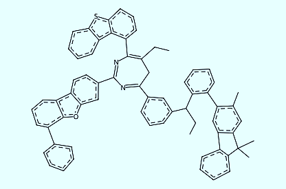 CCC1=C(c2cccc3sc4ccccc4c23)N=C(c2ccc3c(c2)oc2c(-c4ccccc4)cccc23)N=C(c2cccc(C(CC)c3ccccc3-c3cc4c(cc3C)C(C)(C)c3ccccc3-4)c2)C1